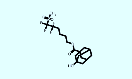 CS(=O)(=O)C(F)(F)C(F)(F)CCCCOC(=O)C12CC3CC(CC(O)(C3)C1)C2